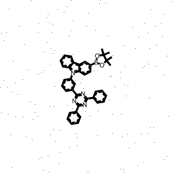 CC1(C)OB(c2ccc3c(c2)c2ccccc2n3-c2cccc(-c3nc(-c4ccccc4)nc(-c4ccccc4)n3)c2)OC1(C)C